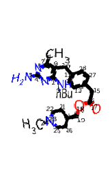 CCCCNc1nc(N)nc(C)c1Cc1ccc(CC(=O)OCC2CCN(C)CC2)cc1